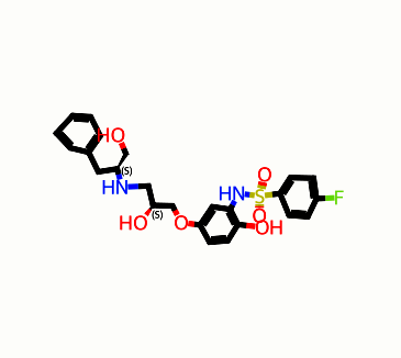 O=S(=O)(Nc1cc(OC[C@@H](O)CN[C@H](CO)Cc2ccccc2)ccc1O)c1ccc(F)cc1